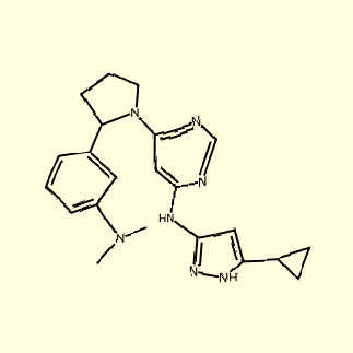 CN(C)c1cccc(C2CCCN2c2cc(Nc3cc(C4CC4)[nH]n3)ncn2)c1